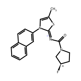 Cc1cn(-c2ccc3ccccc3c2)/c(=N/C(=O)N2CC[C@@H](F)C2)s1